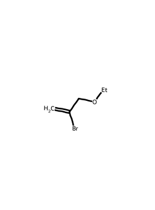 C=C(Br)COCC